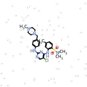 Cc1ccc(S(=O)(=O)N(C)C)c(Nc2nc(Nc3ccc(CN4CCN(C)CC4)cc3)ncc2Cl)c1